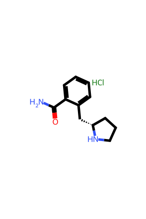 Cl.NC(=O)c1ccccc1C[C@@H]1CCCN1